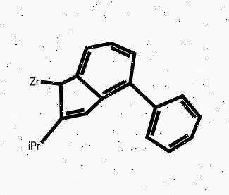 CC(C)C1=Cc2c(-c3ccccc3)cccc2[CH]1[Zr]